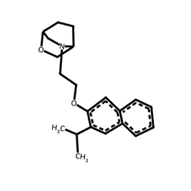 CC(C)c1cc2ccccc2cc1OCCN1CC2CCC1CO2